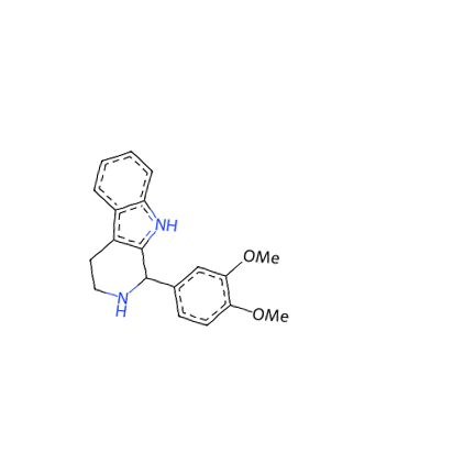 COc1ccc(C2NCCc3c2[nH]c2ccccc32)cc1OC